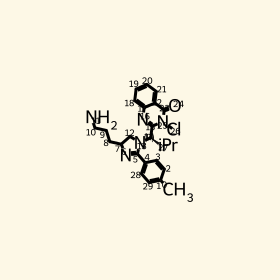 Cc1ccc(C2=NC(CCCN)CN2[C@@H](c2nc3ccccc3c(=O)n2Cl)C(C)C)cc1